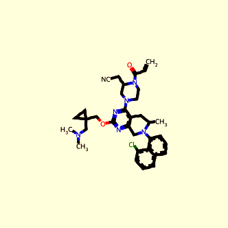 C=CC(=O)N1CCN(c2nc(OCC3(CN(C)C)CC3)nc3c2CC(C)N(c2cccc4cccc(Cl)c24)C3)CC1CC#N